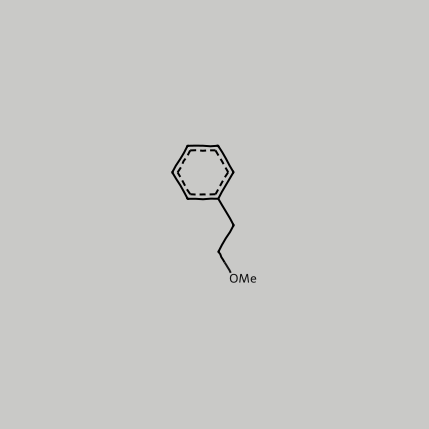 [CH2]OCCc1ccccc1